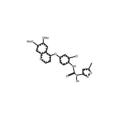 COc1cc2nccc(Oc3ccc(NC(=O)N(c4cc(C)on4)C(C)C)c(Cl)c3)c2cc1OC